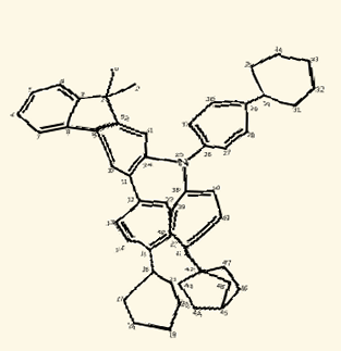 CC1(C)c2ccccc2-c2cc(-c3ccc(C4CCCCC4)cc3)c(N(c3ccc(C4CCCCC4)cc3)c3ccc(C45CCC(CC4)C5)cc3)cc21